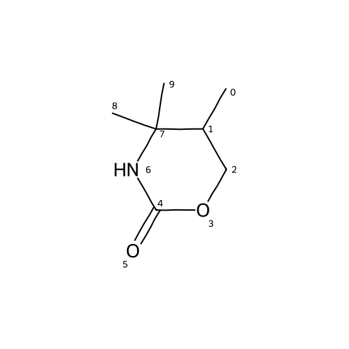 CC1COC(=O)NC1(C)C